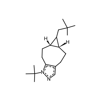 CC(C)(C)CC1[C@H]2CCc3c(cnn3C(C)(C)C)CC[C@@H]12